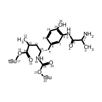 CC(N)C(=O)Nc1cc(C[C@@H](CC(C)C(=O)OC(C)(C)C)NC(=O)OC(C)(C)C)ccc1O